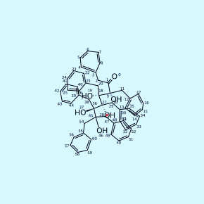 O=C(Cc1ccccc1)[C@@](O)(Cc1ccccc1)[C@](O)(Cc1ccccc1)[C@@](O)(Cc1ccccc1)[C@@](O)(Cc1ccccc1)C(O)(Cc1ccccc1)Cc1ccccc1